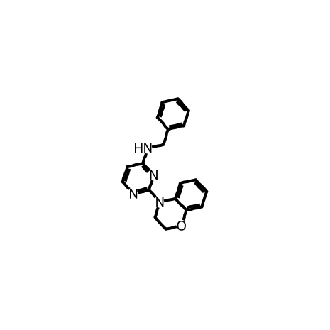 c1ccc(CNc2ccnc(N3CCOc4ccccc43)n2)cc1